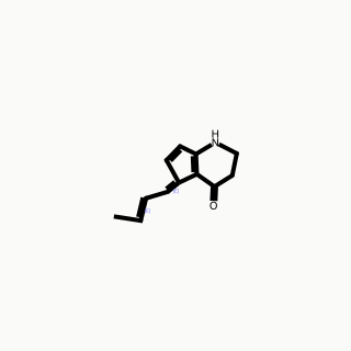 C/C=C/C=C1\C=CC2=C1C(=O)CCN2